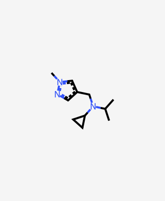 CC(C)N(Cc1cnn(C)c1)C1CC1